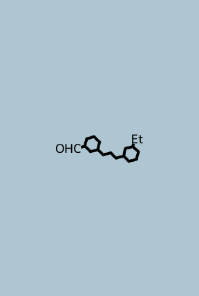 CCC1CCCC(CCCC2CCCC(C=O)C2)C1